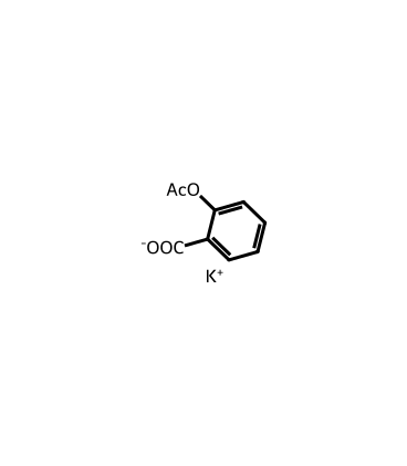 CC(=O)Oc1ccccc1C(=O)[O-].[K+]